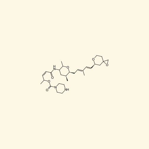 CC(/C=C/[C@@H]1CC2(CCO1)CO2)=C\C[C@@H]1OC(C)C(NC(=O)/C=C\C(C)OC(=O)N2CCNCC2)C[C@@H]1C